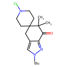 CC(C)(C)n1cc2c(n1)C(=O)C(C)(C)C1(CCN(Cl)CC1)C2